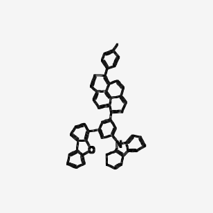 Cc1ccc(-c2ccc3ccc4c(-c5cc(-c6cccc7c6oc6ccccc67)cc(-n6c7c(c8ccccc86)C=CCC7)c5)ccc5ccc2c3c54)cc1